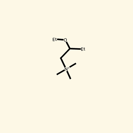 CCOC(CC)C[N+](C)(C)C